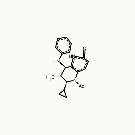 CC(=O)N1c2ccc(=O)[nH]c2[C@H](Nc2ccccc2)[C@@H](C)[C@@H]1C1CC1